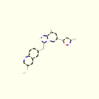 COc1cnc2ccc([C@@H](C)c3nnc4c(F)cc(-c5cc(C)no5)cn34)cc2c1